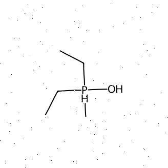 CC[PH](C)(O)CC